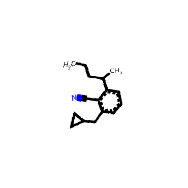 CCCC(C)c1cccc(CC2CC2)c1C#N